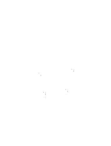 CC(C)C1=NCNc2[nH]cnc21